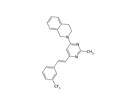 Cc1nc(C=Cc2cccc(C(F)(F)F)c2)cc(N2CCc3ccccc3C2)n1